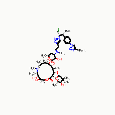 CCCC(C)c1cn(-c2ccc([C@@H](OC)[C@@H](CF)n3cc(CCN(C)[C@H]4C[C@@H](C)O[C@@H](O[C@@H]5[C@@H](C)[C@H](O[C@H]6CC(C)(C)[C@@H](O)[C@H](C)O6)[C@@H](C)C(=O)O[C@H](I)[C@@](C)(O)[C@H](O)[C@@H](C)N(C)C[C@H](C)C[C@@]5(C)O)[C@@H]4O)nn3)cc2)nn1